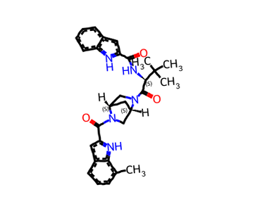 Cc1cccc2cc(C(=O)N3C[C@@H]4C[C@H]3CN4C(=O)[C@@H](NC(=O)c3cc4ccccc4[nH]3)C(C)(C)C)[nH]c12